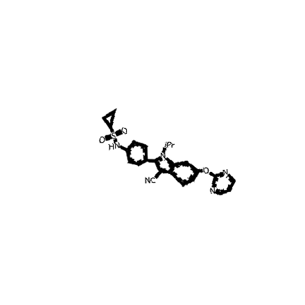 CC(C)n1c(-c2ccc(NS(=O)(=O)C3CC3)cc2)c(C#N)c2ccc(Oc3ncccn3)cc21